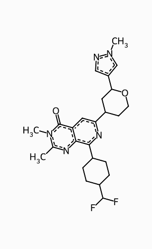 Cc1nc2c(C3CCC(C(F)F)CC3)nc(C3CCOC(c4cnn(C)c4)C3)cc2c(=O)n1C